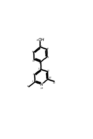 Cc1cc(-c2ccc(O)cc2)cc(C)n1